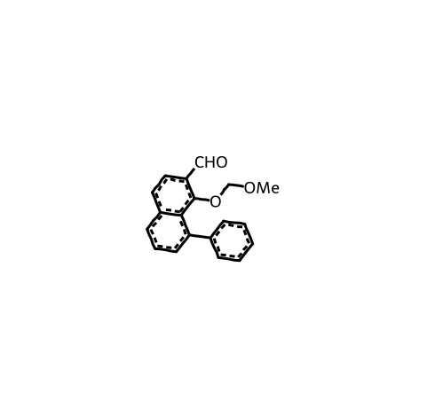 COCOc1c(C=O)ccc2cccc(-c3ccccc3)c12